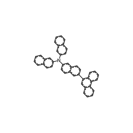 c1ccc2cc(N(c3ccc4ccccc4c3)c3ccc4cc(-c5cc6ccccc6c6ccccc56)ccc4c3)ccc2c1